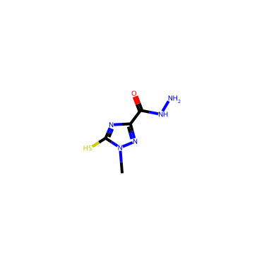 Cn1nc(C(=O)NN)nc1S